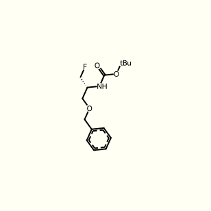 CC(C)(C)OC(=O)N[C@@H](CF)COCc1ccccc1